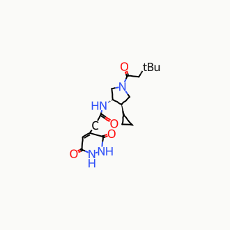 CC(C)(C)CC(=O)N1C[C@@H](NC(=O)Cc2cc(=O)[nH][nH]c2=O)[C@H](C2CC2)C1